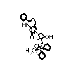 CC(C)(C)[Si](OC[C@H]1O[C@@H](n2cc(I)c(NC(=O)c3ccccc3)nc2=O)C[C@@H]1O)(c1ccccc1)c1ccccc1